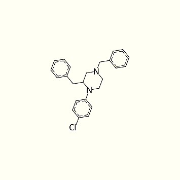 Clc1ccc(N2CCN(Cc3ccccc3)CC2Cc2ccccc2)cc1